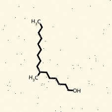 CCCCCCCCCC(C)CCCCCCO